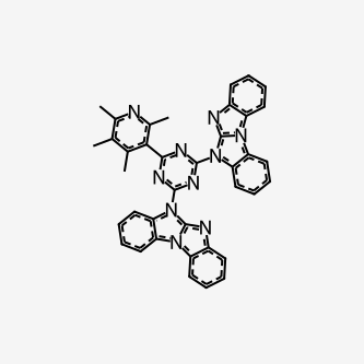 Cc1nc(C)c(-c2nc(-n3c4ccccc4n4c5ccccc5nc34)nc(-n3c4ccccc4n4c5ccccc5nc34)n2)c(C)c1C